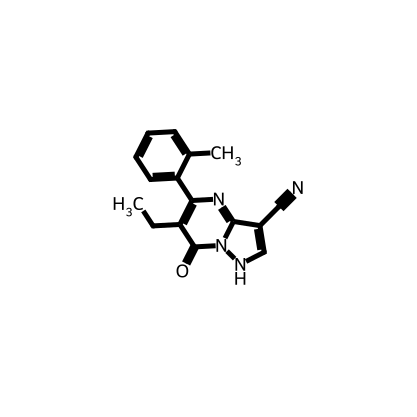 CCc1c(-c2ccccc2C)nc2c(C#N)c[nH]n2c1=O